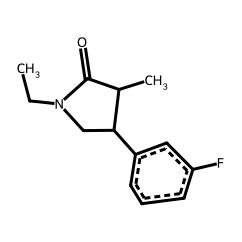 CCN1CC(c2cccc(F)c2)C(C)C1=O